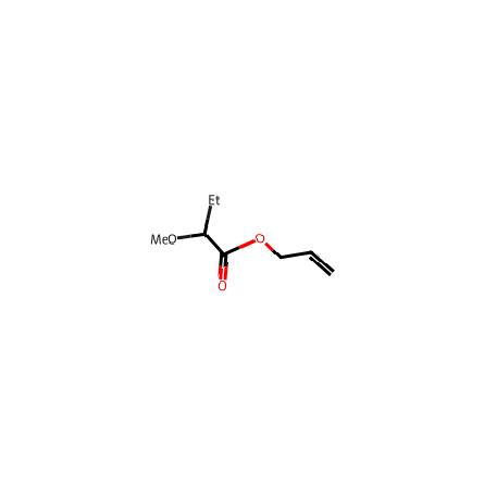 C=CCOC(=O)C(CC)OC